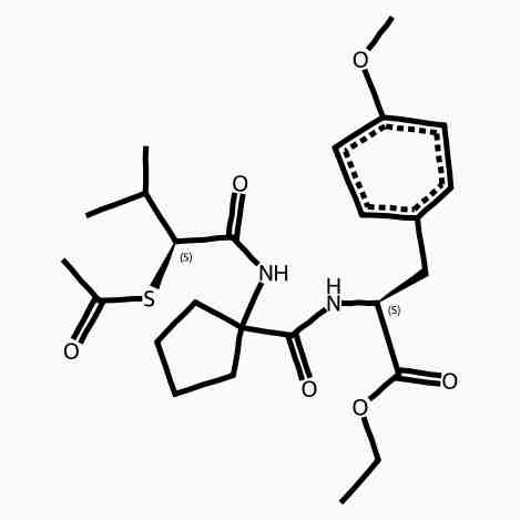 CCOC(=O)[C@H](Cc1ccc(OC)cc1)NC(=O)C1(NC(=O)[C@@H](SC(C)=O)C(C)C)CCCC1